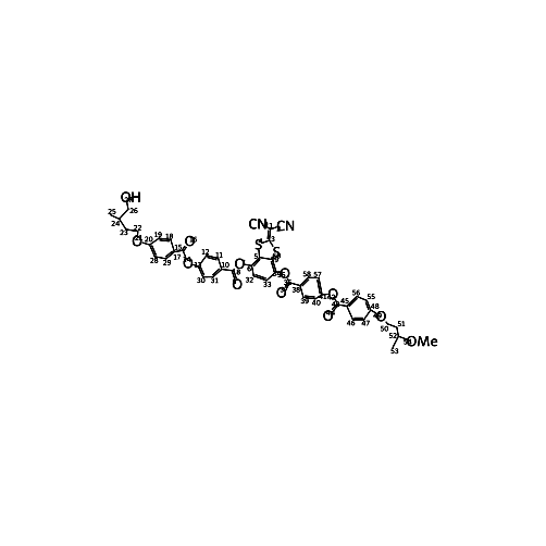 [C-]#[N+]/C(C#N)=C1\Sc2c(OC(=O)c3ccc(OC(=O)c4ccc(OCCC(C)CO)cc4)cc3)ccc(OC(=O)c3ccc(OC(=O)c4ccc(OCCC(C)OC)cc4)cc3)c2S1